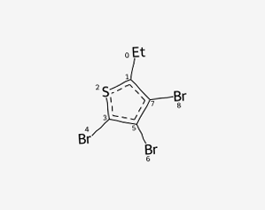 CCc1sc(Br)c(Br)c1Br